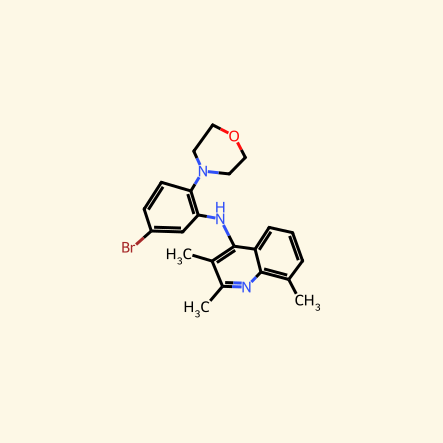 Cc1nc2c(C)cccc2c(Nc2cc(Br)ccc2N2CCOCC2)c1C